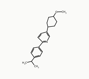 COC1CCC(c2ccc(-c3ccc(C(C)C)cc3)nc2)CC1